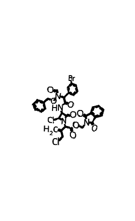 C=C(CCl)C(C(=O)OCN1C(=O)c2ccccc2C1=O)N1C(=O)C(NC(=O)C(c2cccc(Br)c2)N(C=O)OCc2ccccc2)C1Cl